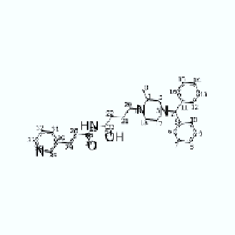 CC1CN(C(c2ccccc2)c2ccccc2)CCN1CCCC(O)NC(=O)C=Cc1cccnc1